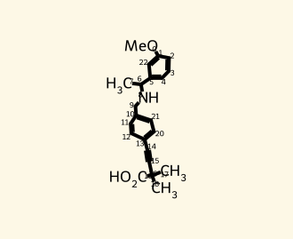 COc1cccc(C(C)NCc2ccc(C#CC(C)(C)C(=O)O)cc2)c1